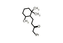 CC(C)CC(=O)CCC1C(C)CCCC1(C)C